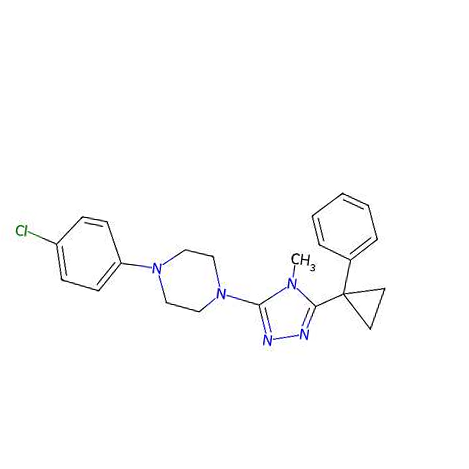 Cn1c(N2CCN(c3ccc(Cl)cc3)CC2)nnc1C1(c2ccccc2)CC1